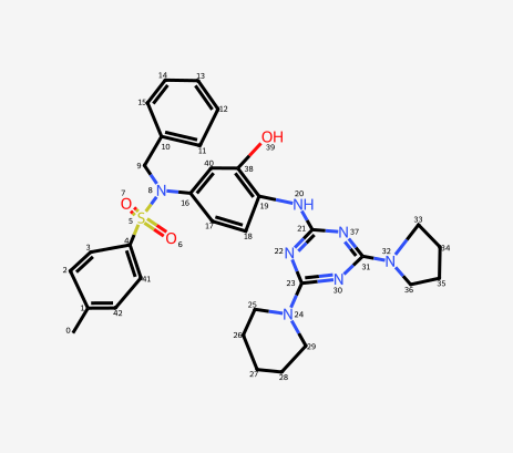 Cc1ccc(S(=O)(=O)N(Cc2ccccc2)c2ccc(Nc3nc(N4CCCCC4)nc(N4CCCC4)n3)c(O)c2)cc1